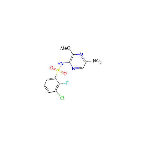 COc1nc([N+](=O)[O-])cnc1NS(=O)(=O)c1cccc(Cl)c1F